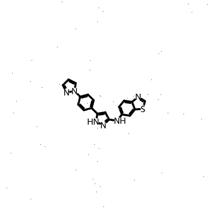 c1cnn(-c2ccc(-c3cc(Nc4ccc5ncsc5c4)n[nH]3)cc2)c1